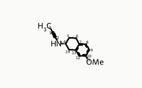 CC#CN[C@H]1CCc2ccc(OC)cc2C1